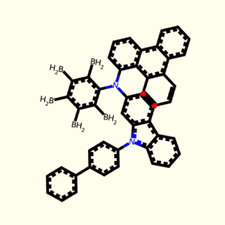 Bc1c(B)c(B)c(N(c2c#cc3c4ccccc4n(-c4ccc(-c5ccccc5)cc4)c3c2)c2cccc3c2c2c(c4ccccc43)C=CCC2)c(B)c1B